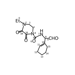 CCN1CCN(C(=O)NC([C]=O)C2=CCCCC2)C(=O)C1=O